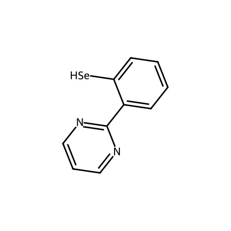 [SeH]c1ccccc1-c1ncccn1